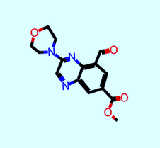 COC(=O)c1cc(C=O)c2nc(N3CCOCC3)cnc2c1